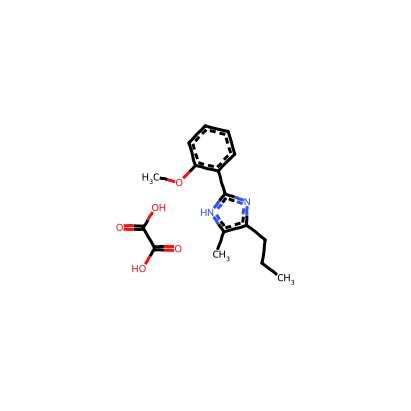 CCCc1nc(-c2ccccc2OC)[nH]c1C.O=C(O)C(=O)O